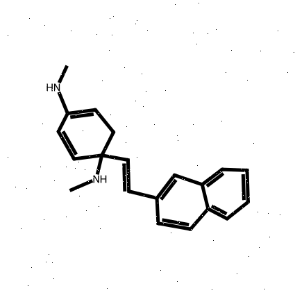 CNC1=CCC(C=Cc2ccc3ccccc3c2)(NC)C=C1